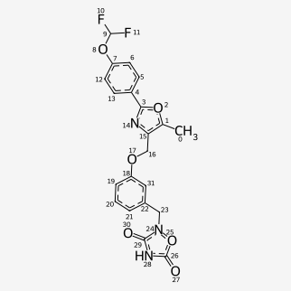 Cc1oc(-c2ccc(OC(F)F)cc2)nc1COc1cccc(Cn2oc(=O)[nH]c2=O)c1